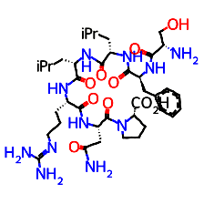 CC(C)C[C@H](NC(=O)[C@H](CC(C)C)NC(=O)[C@H](Cc1ccccc1)NC(=O)[C@@H](N)CO)C(=O)N[C@@H](CCCN=C(N)N)C(=O)N[C@@H](CC(N)=O)C(=O)N1CCC[C@H]1C(=O)O